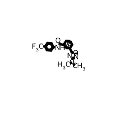 CN(C)c1noc(C2CC3CCC2N(C(=O)Nc2ccc(C(F)(F)F)cc2)C3)n1